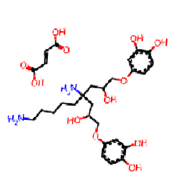 NCCCCCC(N)(CC(O)COc1ccc(O)c(O)c1)CC(O)COc1ccc(O)c(O)c1.O=C(O)C=CC(=O)O